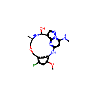 CNc1cc2nc3c(cnn13)C(O)N[C@H](C)COCc1cc(c(OC)cc1F)N2